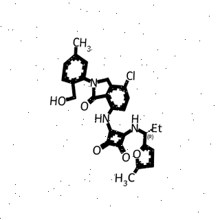 CC[C@@H](Nc1c(Nc2ccc(Cl)c3c2C(=O)N(c2cc(C)ccc2CO)C3)c(=O)c1=O)c1ccc(C)o1